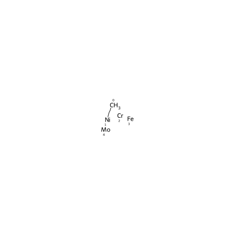 [CH3][Ni].[Cr].[Fe].[Mo]